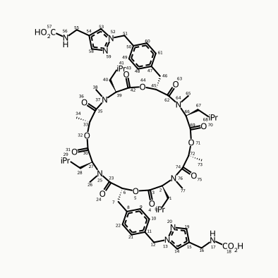 CC(C)C[C@H]1C(=O)O[C@H](Cc2ccc(Cn3cc(CNC(=O)O)cn3)cc2)C(=O)N(C)[C@@H](CC(C)C)C(=O)O[C@H](C)C(=O)N(C)[C@@H](CC(C)C)C(=O)O[C@H](Cc2ccc(Cn3cc(CNC(=O)O)cn3)cc2)C(=O)N(C)[C@@H](CC(C)C)C(=O)O[C@H](C)C(=O)N1C